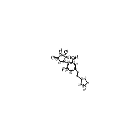 CN1CCC(CCc2cc(O)c(N3CC(=O)NS3(=O)=O)c(F)c2)C1